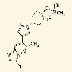 Cc1nn2c(I)cnc2cc1-c1cnn([C@H]2CC[C@H](O[Si](C)(C)C(C)(C)C)CC2)c1